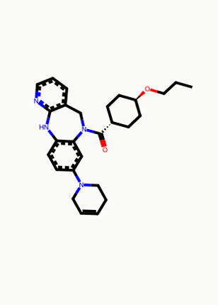 CCCO[C@H]1CC[C@H](C(=O)N2Cc3cccnc3Nc3ccc(N4CC=CCC4)cc32)CC1